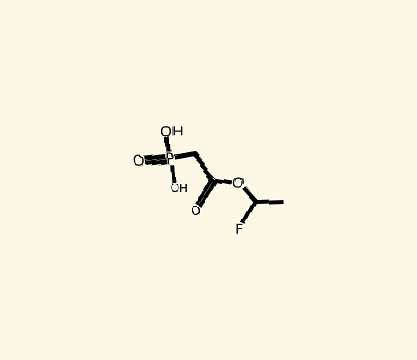 CC(F)OC(=O)CP(=O)(O)O